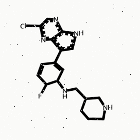 FC1C=CC(c2c[nH]c3ncc(Cl)nc23)=CC1NCC1CCCNC1